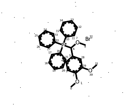 COc1ccc(C(OC)[P+](c2ccccc2)(c2ccccc2)c2ccccc2)cc1OC.[Br-]